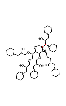 OC(COCC(OCC(O)CN1CCCCC1)C(OCC(O)CN1CCCCC1)C(OCC(O)CN1CCCCC1)C(COCC(O)CN1CCCCC1)OCC(O)CN1CCCCC1)CN1CCCCC1